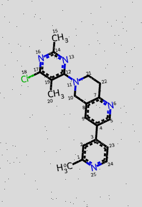 Cc1cc(-c2cnc3c(c2)CN(c2nc(C)nc(Cl)c2C)CC3)ccn1